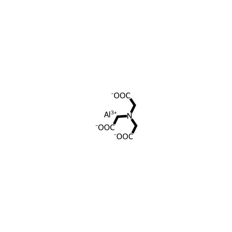 O=C([O-])CN(CC(=O)[O-])CC(=O)[O-].[Al+3]